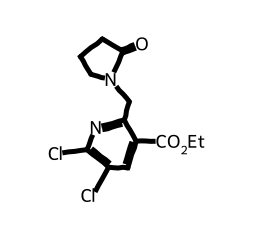 CCOC(=O)c1cc(Cl)c(Cl)nc1CN1CCCC1=O